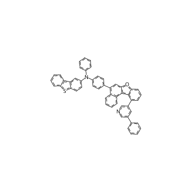 c1ccc(-c2cncc(-c3cccc4oc5cc(-c6ccc(N(c7ccccc7)c7ccc8sc9ccccc9c8c7)cc6)c6ccccc6c5c34)c2)cc1